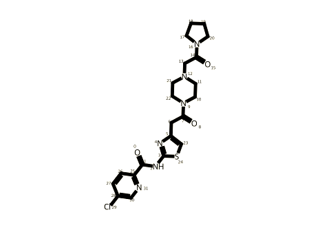 O=C(Nc1nc(CC(=O)N2CCN(CC(=O)N3CCCC3)CC2)cs1)c1ccc(Cl)cn1